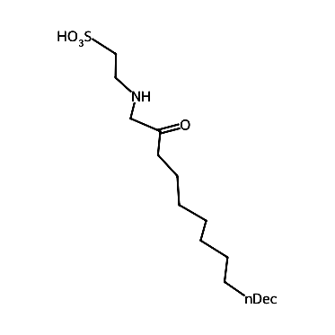 CCCCCCCCCCCCCCCCCC(=O)CNCCS(=O)(=O)O